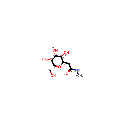 CNC(=O)CC1O[C@H](CO)[C@@H](O)[C@H](O)[C@H]1O